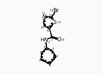 O=C(Nc1ccccc1)c1cnc(Br)s1